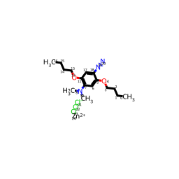 CCCCOc1cc(N(C)C)c(OCCCC)cc1[N+]#N.[Cl-].[Cl-].[Cl-].[Zn+2]